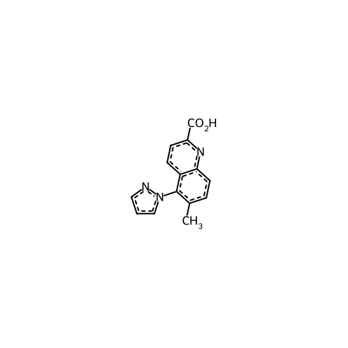 Cc1ccc2nc(C(=O)O)ccc2c1-n1cccn1